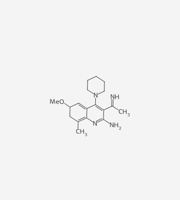 COC1C=c2c(N3CCCCC3)c(C(C)=N)c(N)nc2=C(C)C1